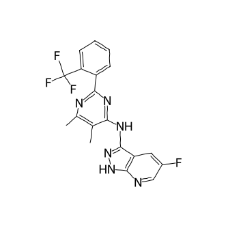 Cc1nc(-c2ccccc2C(F)(F)F)nc(Nc2n[nH]c3ncc(F)cc23)c1C